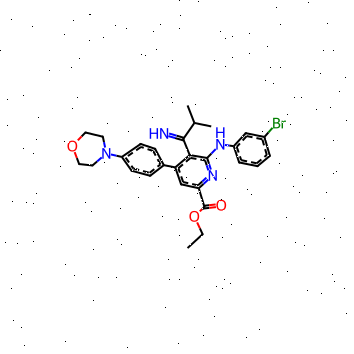 CCOC(=O)c1cc(-c2ccc(N3CCOCC3)cc2)c(C(=N)C(C)C)c(Nc2cccc(Br)c2)n1